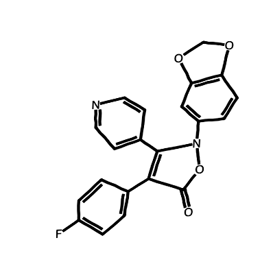 O=c1on(-c2ccc3c(c2)OCO3)c(-c2ccncc2)c1-c1ccc(F)cc1